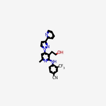 Cc1cc(-n2ccc(-c3ccccn3)n2)c(CCO)c(Nc2ccc(C#N)cc2C(F)(F)F)n1